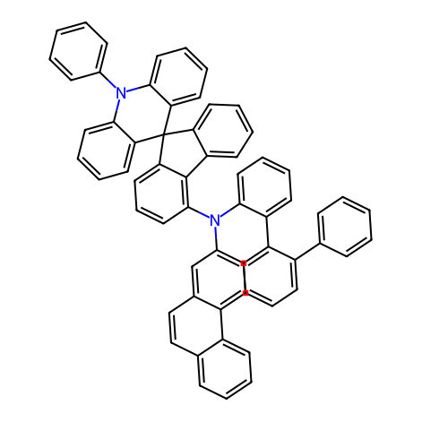 c1ccc(-c2ccccc2-c2ccccc2N(c2ccc3c(ccc4ccccc43)c2)c2cccc3c2-c2ccccc2C32c3ccccc3N(c3ccccc3)c3ccccc32)cc1